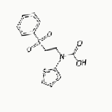 O=C(O)N(CCS(=O)(=O)c1ccccc1)c1cccs1